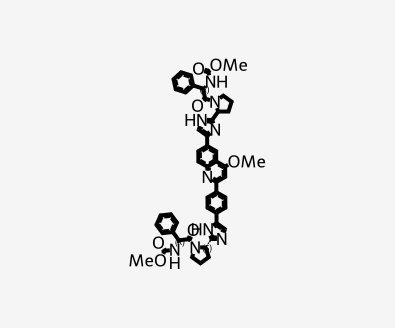 COC(=O)N[C@@H](C(=O)N1CCCC1c1nc(-c2ccc3nc(-c4ccc(-c5cnc([C@@H]6CCCN6C(=O)[C@H](NC(=O)OC)c6ccccc6)[nH]5)cc4)cc(OC)c3c2)c[nH]1)c1ccccc1